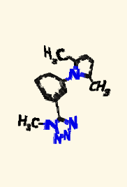 Cc1ccc(C)n1-c1cccc(-c2nnnn2C)c1